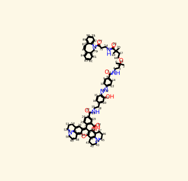 CC(C)(CCNC(=O)c1ccc(/N=N/c2ccc(CCNC(=O)c3ccc(C4=c5cc6c7c(c5Oc5c4cc4c8c5CCCN8CCC4)CCC[N+]=7CCC6)c(C(=O)O)c3)cc2O)cc1)OCCC(C)(C)C(=O)NCCC(=O)N1Cc2ccccc2C#Cc2ccccc21